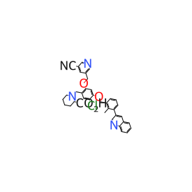 Cc1c(COc2cc(OCc3cncc(C#N)c3)c(CN3CCCCC3C(=O)O)cc2Cl)cccc1-c1cnc2ccccc2c1